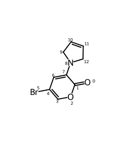 O=c1occ(Br)cc1N1CC=CC1